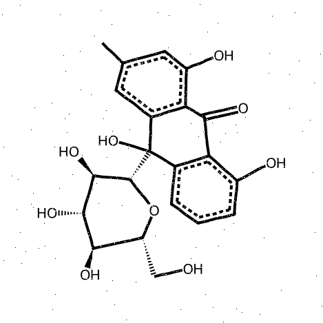 Cc1cc(O)c2c(c1)C(O)([C@@H]1O[C@H](CO)[C@@H](O)[C@H](O)[C@H]1O)c1cccc(O)c1C2=O